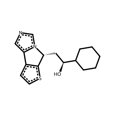 O[C@@H](C[C@@H]1c2sccc2-c2cncn21)C1CCCCC1